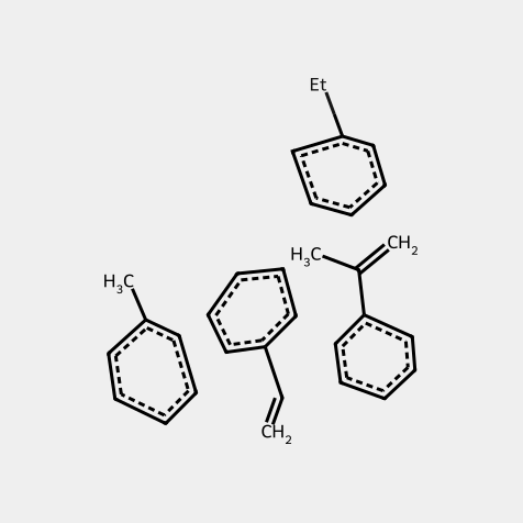 C=C(C)c1ccccc1.C=Cc1ccccc1.CCc1ccccc1.Cc1ccccc1